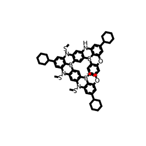 CSN1c2cc3c(cc2B2c4ccccc4Oc4cc(C5CCCCC5)cc1c42)B1c2cc4c(cc2N(SC)c2cc(C5CCCCC5)cc(c21)N3SC)Nc1cc(C2CCCCC2)cc2c1B4c1ccccc1O2